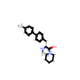 O=C(O)N[C@H](Cc1ccc(-c2ccc(C(F)(F)F)cc2)cc1)C(=O)N1CCCCC1